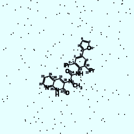 CC(C)c1cc(-c2ccco2)cc(C(C)C)c1NC(=O)N(C)c1cc2cccnc2[nH]c1=O